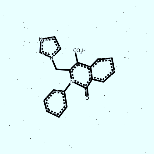 O=C(O)c1c(Cn2ccnc2)n(-c2ccccc2)c(=O)c2ccccc12